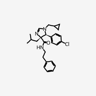 CC(C)C[C@@]1(C(=O)NCCc2ccccc2)N=CN(CC2CC2)[C@H]1c1ccc(Cl)cc1